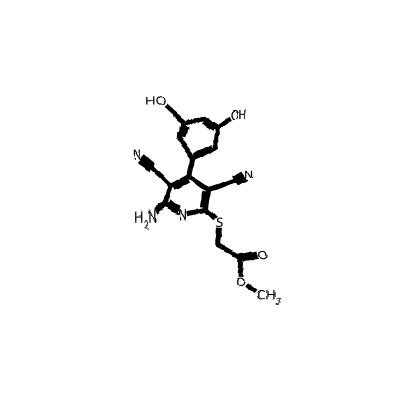 COC(=O)CSc1nc(N)c(C#N)c(-c2cc(O)cc(O)c2)c1C#N